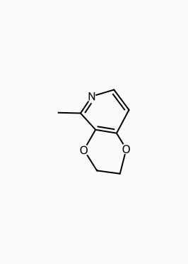 Cc1nccc2c1OCCO2